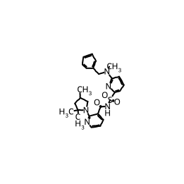 CC1CN(c2ncccc2C(=O)NS(=O)(=O)c2cccc(N(C)Cc3ccccc3)n2)C(C)(C)C1